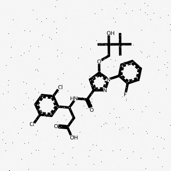 CC(C)(C)C(C)(O)COc1cc(C(=O)NC(CC(=O)O)c2cc(Cl)ccc2Cl)nn1-c1ccccc1F